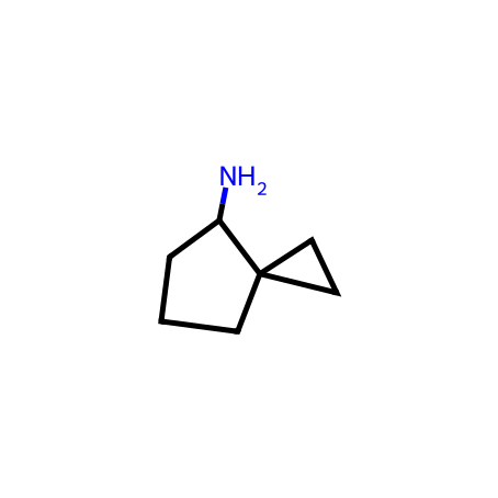 NC1CCCC12CC2